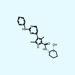 Cc1[nH]c(C(=O)N[C@H]2CCCC[C@H]2O)c(C)c1-c1ccnc(Nc2ccccc2)n1